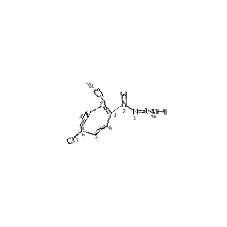 N=NNc1ccc(Cl)nc1Cl